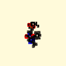 CS(=O)(=O)/C=C/C1CN(C(=O)c2cnc(C3CC3)nc2Oc2ccccc2)C1